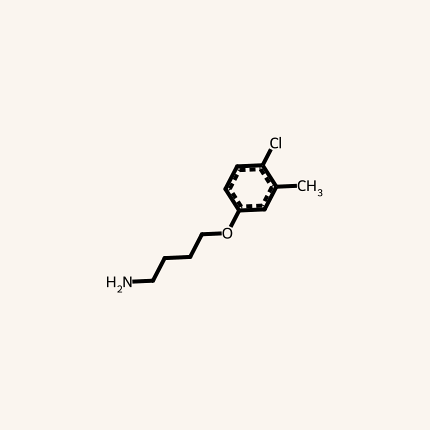 Cc1cc(OCCCCN)ccc1Cl